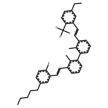 CCCCCc1ccc(F)c(/C=C/c2cccc(-c3cccc(/C=C/c4cc(CC)ccc4C(F)(F)F)c3C)c2C)c1